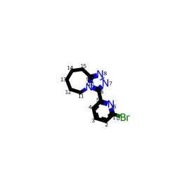 Brc1cccc(-c2nnc3n2CCCCC3)n1